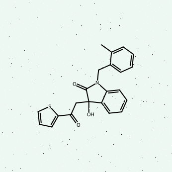 Cc1ccccc1CN1C(=O)C(O)(CC(=O)c2cccs2)c2ccccc21